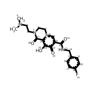 CN(C)CCN1CCn2cc(C(=O)NCc3ccc(F)cc3)c(=O)c(O)c2C1=O